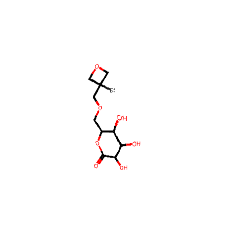 CCC1(COCC2OC(=O)C(O)C(O)C2O)COC1